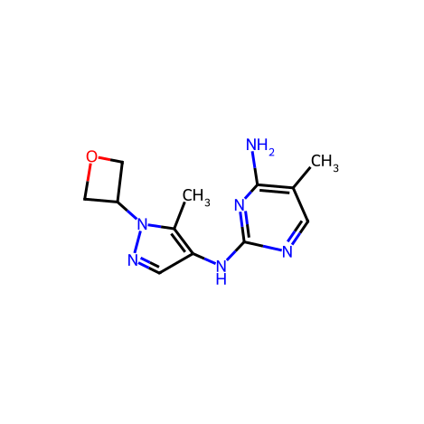 Cc1cnc(Nc2cnn(C3COC3)c2C)nc1N